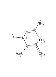 C=NC(SC)N(/C=C(\C)N)CC